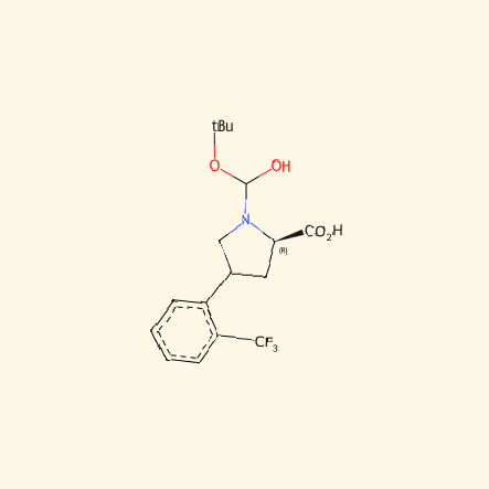 CC(C)(C)OC(O)N1CC(c2ccccc2C(F)(F)F)C[C@@H]1C(=O)O